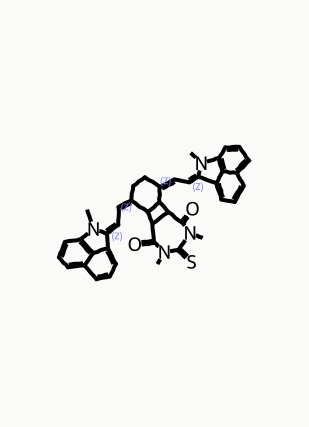 CN1C(=O)C2C(C(=O)N(C)C1=S)C1/C(=C\C=c3\c4cccc5cccc(c54)n3C)CC/C(=C/C=c3/c4cccc5cccc(c54)n3C)C21